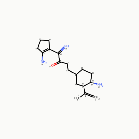 C=C(C)[C@H]1CC(CCC(=O)C(=N)C2=C(N)CCC2)CC[C@H]1N